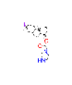 C[C@]1(I)CC=C2C(CCC3[C@](C)(COC(=O)CN4CCNCC4)CCC[C@@]23C)C1